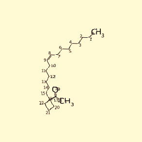 CCCCCCCC/C=C\CCCCCCC1(C(C)=O)CCC1